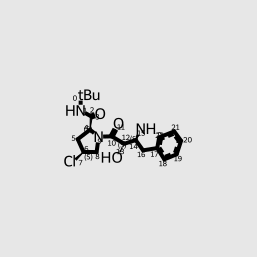 CC(C)(C)NC(=O)[C@@H]1C[C@H](Cl)CN1C(=O)[C@@H](O)[C@@H](N)Cc1ccccc1